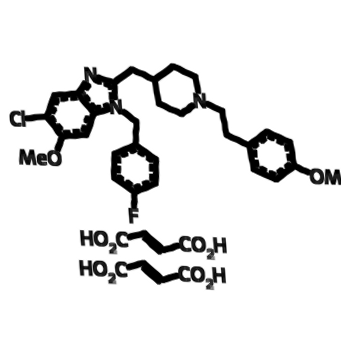 COc1ccc(CCN2CCC(Cc3nc4cc(Cl)c(OC)cc4n3Cc3ccc(F)cc3)CC2)cc1.O=C(O)C=CC(=O)O.O=C(O)C=CC(=O)O